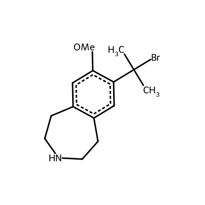 COc1cc2c(cc1C(C)(C)Br)CCNCC2